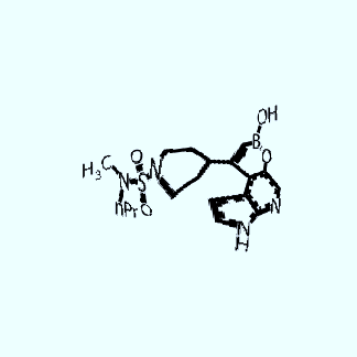 CCCN(C)S(=O)(=O)N1CCC(C2=CB(O)Oc3cnc4[nH]ccc4c32)CC1